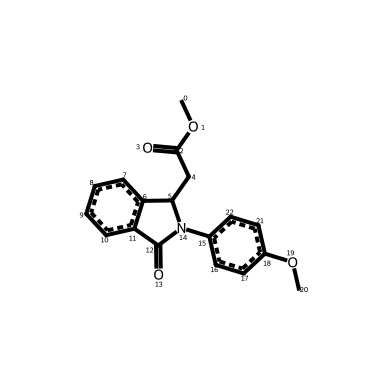 COC(=O)CC1c2ccccc2C(=O)N1c1ccc(OC)cc1